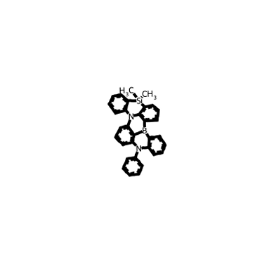 C[Si]1(C)c2ccccc2N2c3cccc4c3B(c3ccccc3N4c3ccccc3)c3cccc1c32